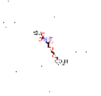 CC(C)(C)OC(=O)NCC(O)COCCOCC(=O)O